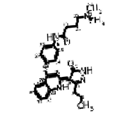 CCCC1=NNC(=O)C1=C1C=C(Sc2ccc(NC(=O)CCCN(C)C)cc2)c2ccccc2N1